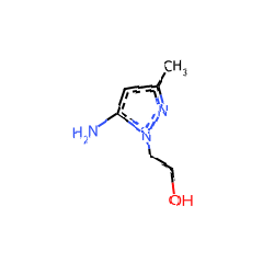 Cc1cc(N)n(CCO)n1